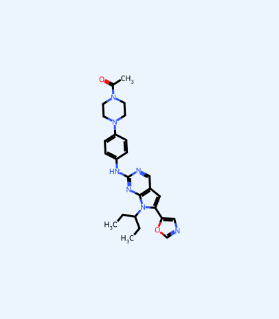 CCC(CC)n1c(-c2cnco2)cc2cnc(Nc3ccc(N4CCN(C(C)=O)CC4)cc3)nc21